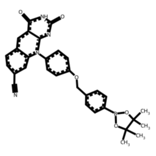 CC1(C)OB(c2ccc(COc3ccc(-n4c5nc(=O)[nH]c(=O)c-5cc5ccc(C#N)cc54)cc3)cc2)OC1(C)C